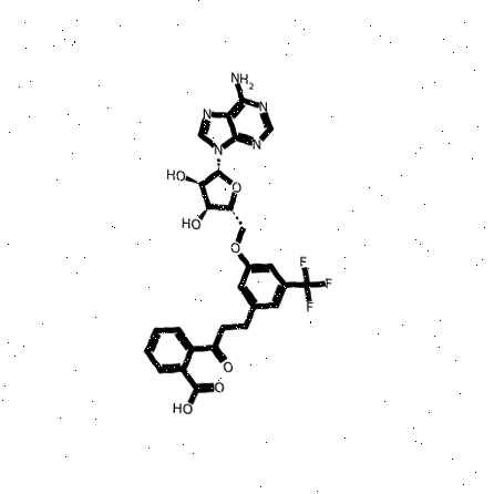 Nc1ncnc2c1ncn2[C@@H]1O[C@H](COc2cc(CCC(=O)c3ccccc3C(=O)O)cc(C(F)(F)F)c2)[C@@H](O)[C@H]1O